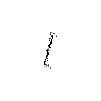 CCOCC[CH]OCCOCC